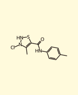 CC1=C(C(=O)Nc2ccc(C)cc2)SNN1Cl